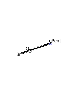 CCCCC/C=C\CC=CCCCCCCCCOC(=O)CCCCBr